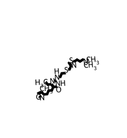 CCc1nc(NCCCSCc2csc(CCCN(C)C)n2)[nH]c(=O)c1CCCc1nocc1C